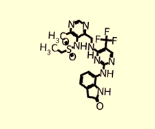 CCS(=O)(=O)Nc1c(C)ncnc1CNc1nc(Nc2cccc3c2NC(=O)C3)ncc1C(F)(F)F